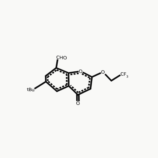 CC(C)(C)c1cc(C=O)c2oc(OCC(F)(F)F)cc(=O)c2c1